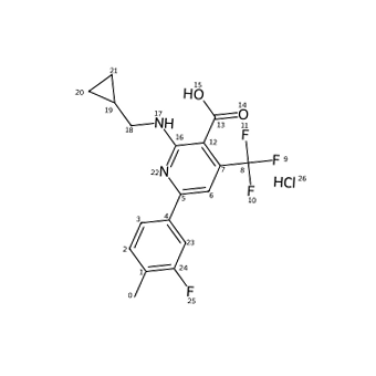 Cc1ccc(-c2cc(C(F)(F)F)c(C(=O)O)c(NCC3CC3)n2)cc1F.Cl